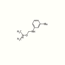 C[SiH](C)OCNc1cccc(C(C)(C)C)c1